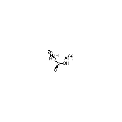 O=[Si](O)O.[Ag].[AlH3].[NaH].[Zn]